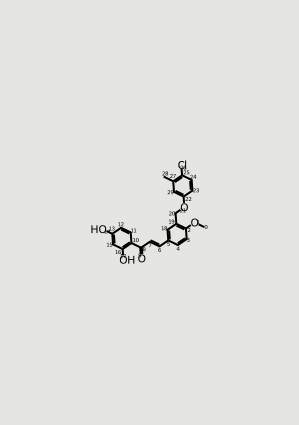 COc1ccc(C=CC(=O)c2ccc(O)cc2O)cc1COc1ccc(Cl)c(C)c1